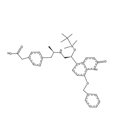 C[C@H](Cc1ccc(CC(=O)O)cc1)NC[C@@H](O[Si](C)(C)C(C)(C)C)c1ccc(OCc2ccccc2)c2[nH]c(=O)ccc12